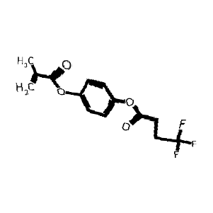 C=C(C)C(=O)Oc1ccc(OC(=O)CCC(F)(F)F)cc1